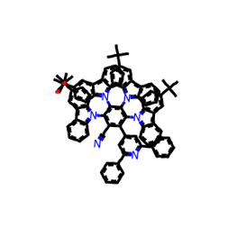 CC(C)(C)c1ccc2c(c1)c1ccccc1n2-c1c(C#N)c(-c2cc(-c3ccccc3)nc(-c3ccccc3)c2)c(-n2c3ccccc3c3cc(C(C)(C)C)ccc32)c(-n2c3ccccc3c3cc(C(C)(C)C)ccc32)c1-n1c2ccccc2c2cc(C(C)(C)C)ccc21